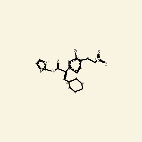 O=C(Nc1nccs1)/C(=C/C1CCCCC1)c1ccc(CC[SH](=O)=O)c(Cl)c1